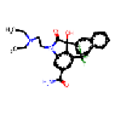 CCN(CC)CCN1C(=O)C(O)(c2ccc3ccccc3c2)c2c1cc(C(N)=O)cc2C(F)(F)F